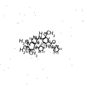 COc1cc(C(=O)NC2=NCCS2)ccc1Nc1ncc2c(n1)N(C1CCCC1)CC(C)(C)C(=O)N2C